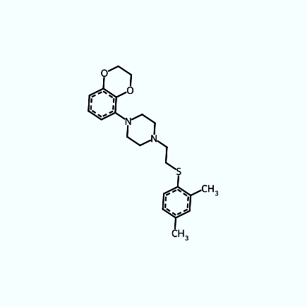 Cc1ccc(SCCN2CCN(c3cccc4c3OCCO4)CC2)c(C)c1